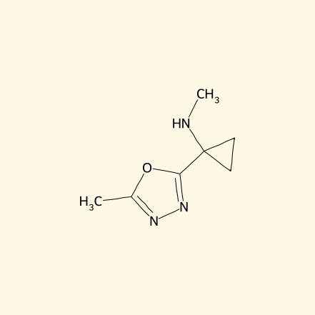 CNC1(c2nnc(C)o2)CC1